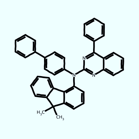 CC1(C)c2ccccc2-c2c(N(c3ccc(-c4ccccc4)cc3)c3nc(-c4ccccc4)c4ccccc4n3)cccc21